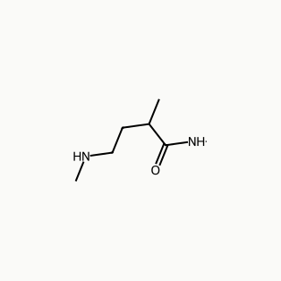 CNCCC(C)C([NH])=O